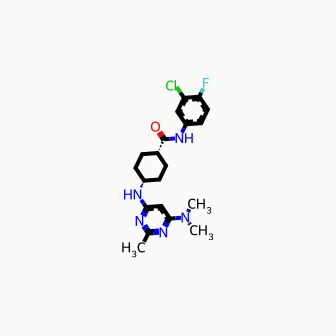 Cc1nc(N[C@H]2CC[C@@H](C(=O)Nc3ccc(F)c(Cl)c3)CC2)cc(N(C)C)n1